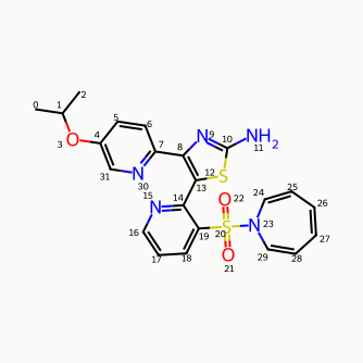 CC(C)Oc1ccc(-c2nc(N)sc2-c2ncccc2S(=O)(=O)N2C=CC=CC=C2)nc1